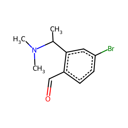 CC(c1cc(Br)ccc1C=O)N(C)C